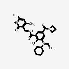 CCN(c1cc(C(=O)N2CCC2)cc(C(=O)NCc2c(C)cc(C)[nH]c2=O)c1C)C1CCCCC1